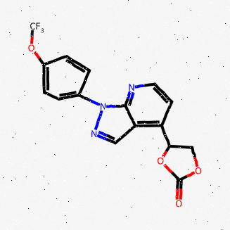 O=C1OCC(c2ccnc3c2cnn3-c2ccc(OC(F)(F)F)cc2)O1